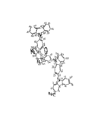 N#Cc1ccc2c(c1)c1ccccc1n2-c1ccc2c(c1)c1ccccc1n2-c1ccc2c(c1)Oc1cc(-n3c4ccccc4c4ccccc43)ccc1C21c2cccnc2-c2ncccc21